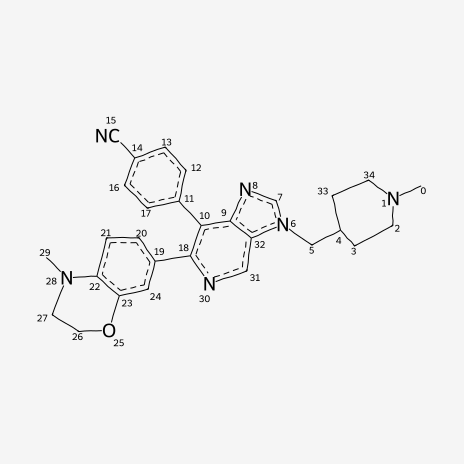 CN1CCC(Cn2cnc3c(-c4ccc(C#N)cc4)c(-c4ccc5c(c4)OCCN5C)ncc32)CC1